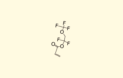 C=CC(=O)OC(F)(F)COC(F)(F)F